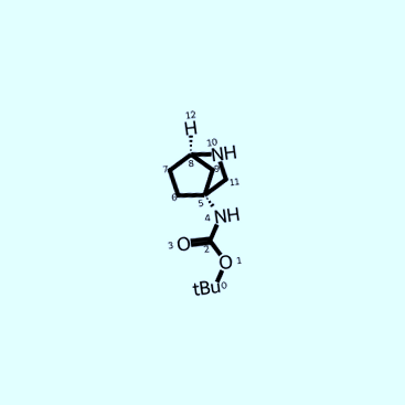 CC(C)(C)OC(=O)N[C@]12CC[C@H](C1)NC2